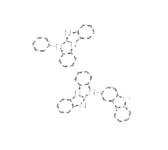 c1ccc(-n2c3ccc(-c4ccc5c(c4)n4c6ccccc6nc4n5-c4ccc5oc6ccccc6c5c4)cc3n3c4ccccc4nc23)cc1